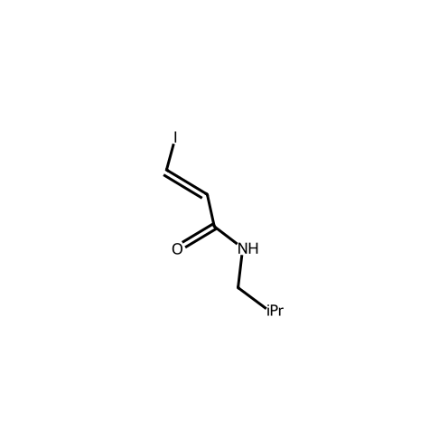 CC(C)CNC(=O)C=CI